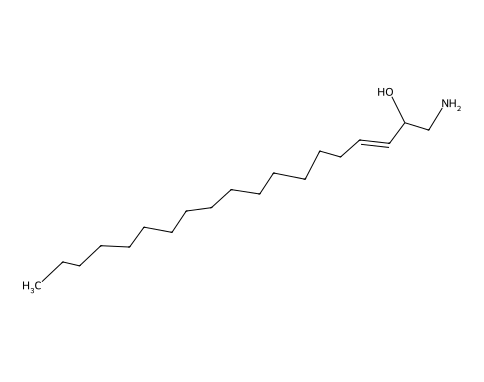 CCCCCCCCCCCCCCCC=CC(O)CN